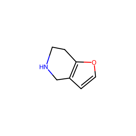 c1cc2c(o1)CCNC2